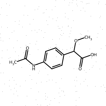 COC(C(=O)O)c1ccc(NC(C)=O)cc1